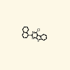 Clc1nc(-c2cccc3ccccc23)nc2sc3ccccc3c12